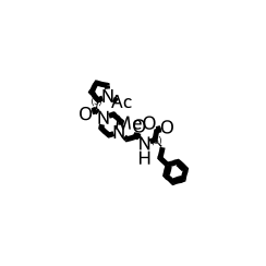 COC(=O)[C@H](CCc1ccccc1)NC(=O)CN1CCN(C(=O)[C@@H]2CCCN2C(C)=O)CC1